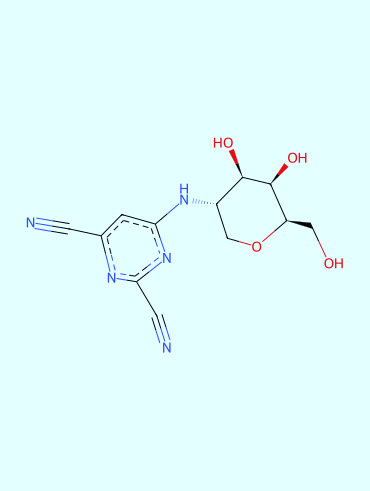 N#Cc1cc(N[C@H]2CO[C@H](CO)[C@H](O)[C@@H]2O)nc(C#N)n1